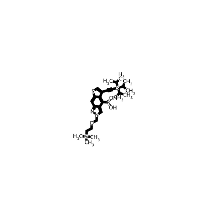 CC(C)[Si](C#Cc1csc2cc3nn(COCC[Si](C)(C)C)cc3c(B(O)O)c12)(C(C)C)C(C)C